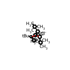 CCCCC1[C]([Zr+2][CH]2c3cc(-c4c(C)cc(C)cc4C)ccc3-c3ccc(-c4c(C)cc(C)cc4C)cc32)=C2C(C(C)(C)C)=C1C2(c1ccccc1)c1ccccc1.[Cl-].[Cl-]